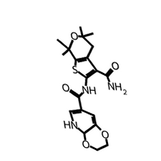 CC1(C)Cc2c(sc(NC(=O)C3=CNC4OCCOC4=C3)c2C(N)=O)C(C)(C)O1